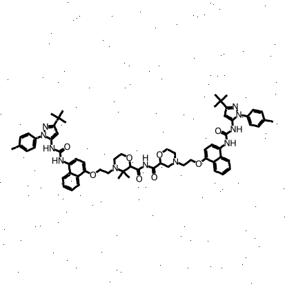 Cc1ccc(-n2nc(C(C)(C)C)cc2NC(=O)Nc2ccc(OCCN3CCOC(C(=O)NC(=O)C4OCCN(CCOc5ccc(NC(=O)Nc6cc(C(C)(C)C)nn6-c6ccc(C)cc6)c6ccccc56)C4(C)C)C3)c3ccccc23)cc1